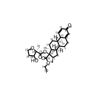 C[C@@H]1C[C@H]2[C@@H]3CCC4=CC(=O)C=C[C@]4(C)[C@H]3CC[C@]2(C)[C@@]1(OC(=O)[C@]1(C)OCCC1O)C(=O)OCF